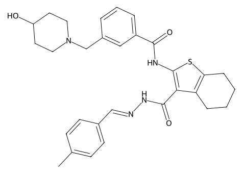 Cc1ccc(C=NNC(=O)c2c(NC(=O)c3cccc(CN4CCC(O)CC4)c3)sc3c2CCCC3)cc1